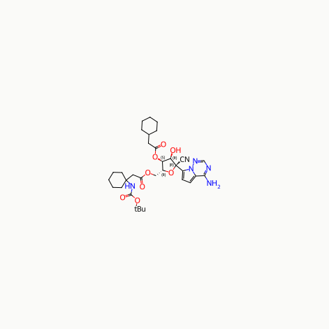 CC(C)(C)OC(=O)NC1(CC(=O)OC[C@H]2O[C@@](C#N)(c3ccc4c(N)ncnn34)[C@H](O)[C@@H]2OC(=O)CC2CCCCC2)CCCCC1